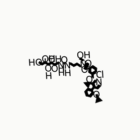 O=C(NCCCCN(CCO)S(=O)(=O)c1ccc(Cl)c(COC2(c3cnccc3-c3ccccc3OC3CC3)CC2)c1)NC[C@H](O)[C@@H](O)[C@H](O)[C@H](O)CO